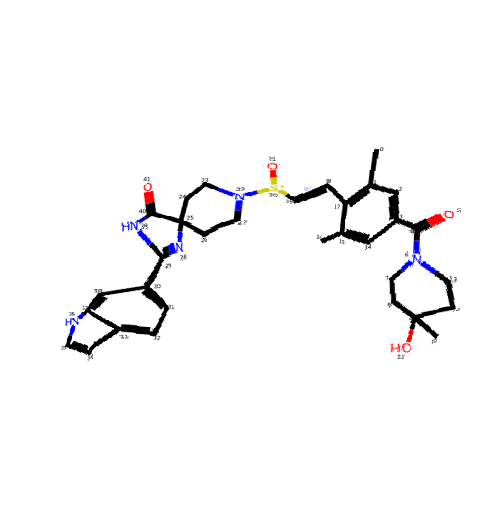 Cc1cc(C(=O)N2CCC(C)(O)CC2)cc(C)c1/C=C/[S+]([O-])N1CCC2(CC1)N=C(c1ccc3cc[nH]c3c1)NC2=O